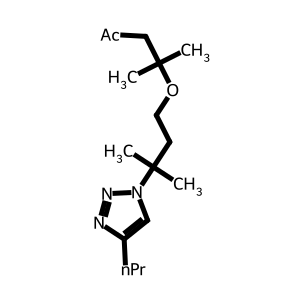 CCCc1cn(C(C)(C)CCOC(C)(C)CC(C)=O)nn1